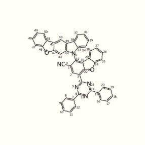 N#Cc1cc(-c2nc(-c3ccccc3)nc(-c3ccccc3)n2)c2oc3ccccc3c2c1-n1c2ccccc2c2cc3c(cc21)oc1ccccc13